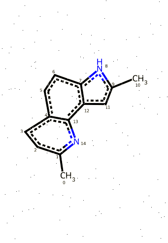 Cc1ccc2ccc3[nH]c(C)cc3c2n1